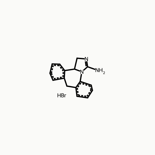 Br.NC1=NCC2c3ccccc3Cc3ccccc3N12